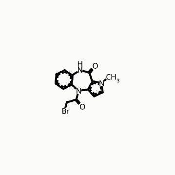 Cn1ccc2c1C(=O)Nc1ccccc1N2C(=O)CBr